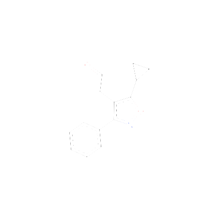 O=CCc1c(-c2ccccc2)noc1C1CC1